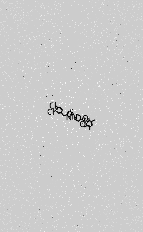 Cc1cc(C)c(C)c(S(=O)(=O)C2CCN(c3nc(Cc4ccc(Cl)c(Cl)c4)cs3)CC2)c1C